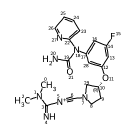 CN(C)C(=N)[N+]#CN1CC[C@@H](Oc2cc(F)cc(N(C(N)=O)c3ccccn3)c2)C1